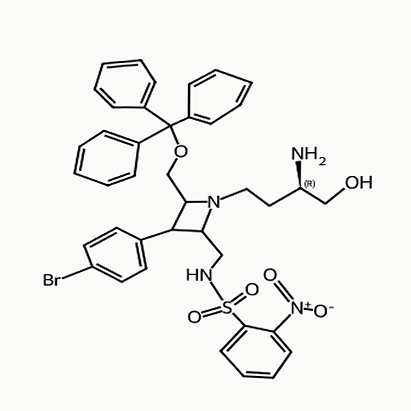 N[C@@H](CO)CCN1C(CNS(=O)(=O)c2ccccc2[N+](=O)[O-])C(c2ccc(Br)cc2)C1COC(c1ccccc1)(c1ccccc1)c1ccccc1